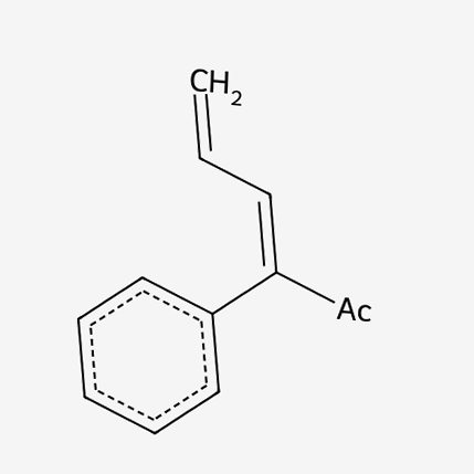 C=C/C=C(/C(C)=O)c1ccccc1